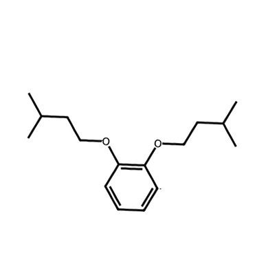 CC(C)CCOc1[c]cccc1OCCC(C)C